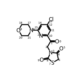 O=C(CN1C(=O)CSC1=O)c1cc(Cl)cc(N2CCOCC2)n1